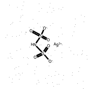 O=S(=O)([O-])NS(=O)(=O)[O-].[Ag+2]